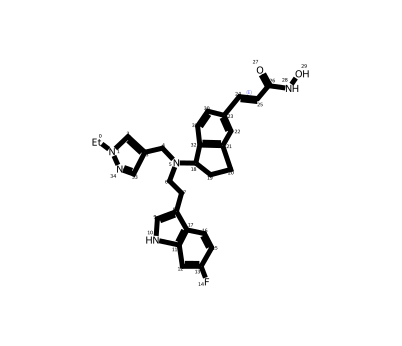 CCn1cc(CN(CCc2c[nH]c3cc(F)ccc23)C2CCc3cc(/C=C/C(=O)NO)ccc32)cn1